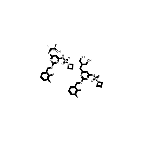 C[C@@H](O)[C@@H](C)Oc1cc(NS(=O)(=O)N2CCC2)nc(SCc2cccc(F)c2F)n1.O=S(=O)(Nc1cc(CC(CO)CO)nc(SCc2cccc(F)c2F)n1)N1C=CC1